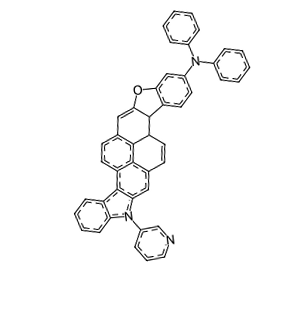 C1=CC2c3c(ccc4c3c1cc1c4c3ccccc3n1-c1cccnc1)C=C1Oc3cc(N(c4ccccc4)c4ccccc4)ccc3C12